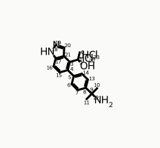 CC(O)c1c(-c2ccc(C(C)(C)N)cc2)ccc2[nH]ncc12.Cl.Cl